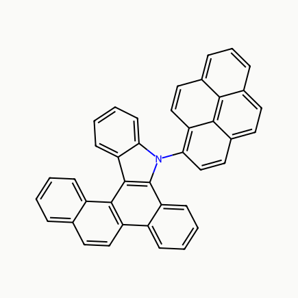 c1ccc2c(c1)ccc1c3ccccc3c3c(c4ccccc4n3-c3ccc4ccc5cccc6ccc3c4c56)c21